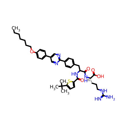 CCCCCCCOc1ccc(-c2cnc(-c3ccc(CC(NC(=O)c4ccc(C(C)(C)C)s4)C(=O)N[C@@H](CCCNC(=N)N)C(=O)O)cc3)nc2)cc1